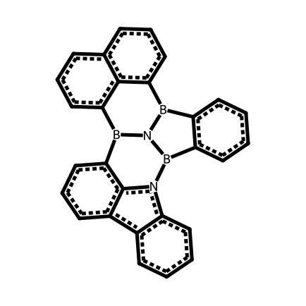 c1ccc2c(c1)B1c3cccc4cccc(c34)B3c4cccc5c6ccccc6n(c45)B2N13